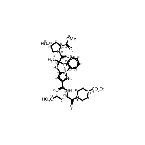 CCOC(=O)N1CCN(C(=O)[C@H](CCC(=O)O)NC(=O)c2cc(OC(C)(C)C(=O)N3C[C@H](O)C[C@H]3C(=O)OC)n(-c3ccccc3)n2)CC1